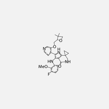 COc1c(F)cccc1Nc1c(-c2ccncc2OCC2OCC2(C)C)[nH]c2c1C(=O)NCC21CC1